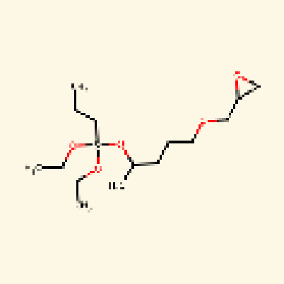 CCC[Si](OCC)(OCC)OC(C)CCCOCC1CO1